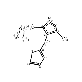 C[O-].C[O-].Cc1c[pH]c(C)[c]1[Ti+2][C]1=CC=CC1